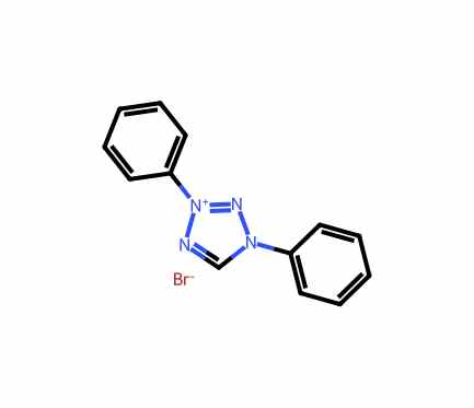 [Br-].c1ccc(-n2cn[n+](-c3ccccc3)n2)cc1